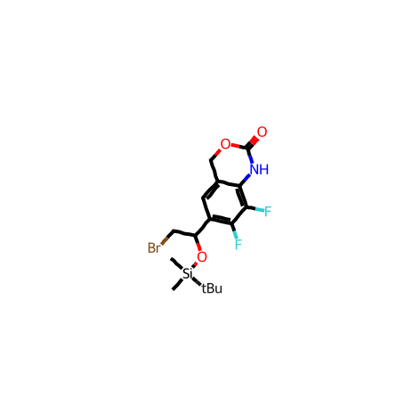 CC(C)(C)[Si](C)(C)OC(CBr)c1cc2c(c(F)c1F)NC(=O)OC2